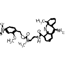 COc1cc([N+](=O)[O-])ccc1COC(=O)N(C)CCNC(=O)c1cccc2c(N)c3cccc(C)c3nc12